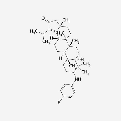 CC(C)C1=C2[C@H]3CC[C@@H]4[C@@]5(C)CCC(Nc6ccc(F)cc6)C(C)(C)[C@@H]5CC[C@@]4(C)[C@]3(C)CC[C@@]2(C)CC1=O